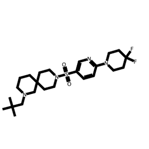 CC(C)(C)CN1CCCC2(CCN(S(=O)(=O)c3ccc(N4CCC(F)(F)CC4)nc3)CC2)C1